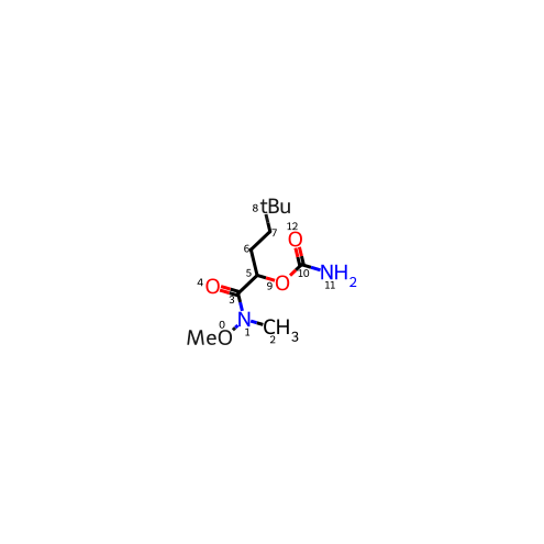 CON(C)C(=O)C(CCC(C)(C)C)OC(N)=O